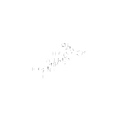 CCC(C(=O)c1sc(C(=O)NCCNC(=O)[C@@H](N)CC(C)C)c(C)c1C(=O)OC)c1ccc(F)cc1